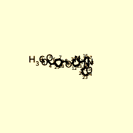 COC(=O)Cc1ccc(COc2ccc(-c3ccnn3C3CCCCO3)nc2)cc1